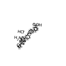 Cl.Nc1nc(N2CCCC(CN3CCN(c4cccc(C(=O)O)c4)CC3)C2)nc2nc(-c3ccco3)nn12